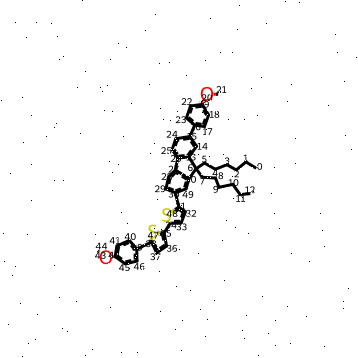 CCCCCCC1(CCCCCC)c2cc(-c3ccc(OC)cc3)ccc2-c2ccc(-c3ccc(-c4ccc(-c5ccc(OC)cc5)s4)s3)cc21